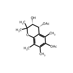 CC(=O)Oc1c(C)c(C)c2c(c1C)[C@@H](OC(C)=O)[C@@H](O)C(C)(C)O2